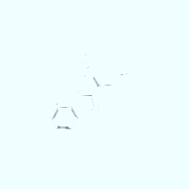 CCCC(=C=O)C(Cl)Oc1ccccc1